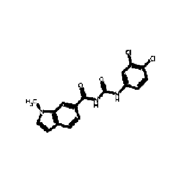 Cn1ccc2ccc(C(=O)NC(=O)Nc3ccc(Cl)c(Cl)c3)cc21